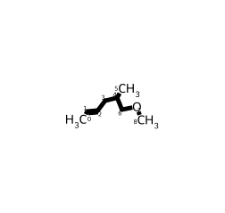 C/C=C/CC(C)COC